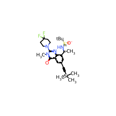 C[C@@H](N[S@+]([O-])C(C)(C)C)c1cc(C#C[Si](C)(C)C)cc2c(=O)n(C)c(N3CCC(F)(F)CC3)nc12